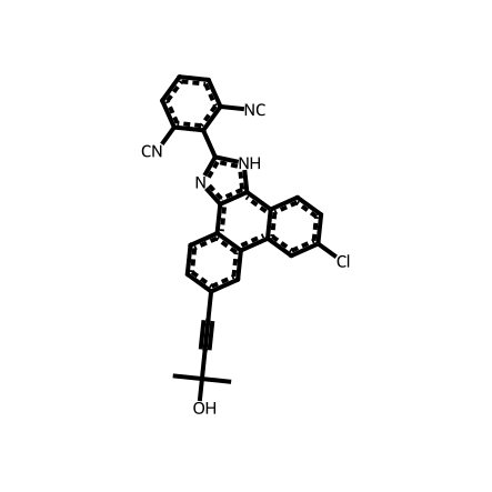 [C-]#[N+]c1cccc([N+]#[C-])c1-c1nc2c3ccc(C#CC(C)(C)O)cc3c3cc(Cl)ccc3c2[nH]1